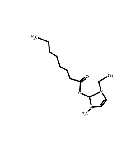 CCCCCCCC(=O)OC1N(C)C=CN1CC